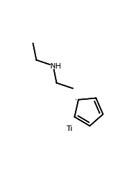 CCNCC.[CH]1C=CC=C1.[Ti]